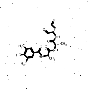 Cc1cc(C(=O)N[C@@H](C)C(=O)N[C@@H](C)C(=O)N[C@H](C=O)CC=O)cc(C)c1O